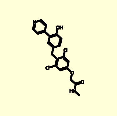 CNC(=O)COc1cc(Cl)c(Cc2ccc(O)c(-c3ccncc3)c2)c(Cl)c1